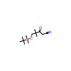 CC(C)(CO[Si](C)(C)C(C)(C)C)C(=O)CC#N